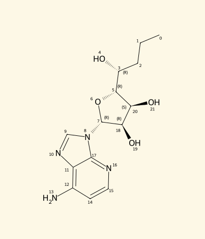 CCC[C@@H](O)[C@H]1O[C@@H](n2cnc3c(N)ccnc32)[C@H](O)[C@@H]1O